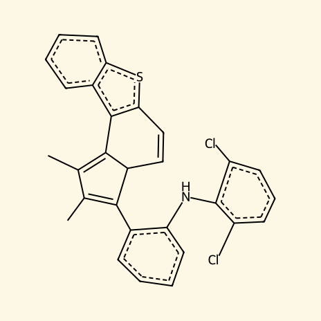 CC1=C(c2ccccc2Nc2c(Cl)cccc2Cl)C2C=Cc3sc4ccccc4c3C2=C1C